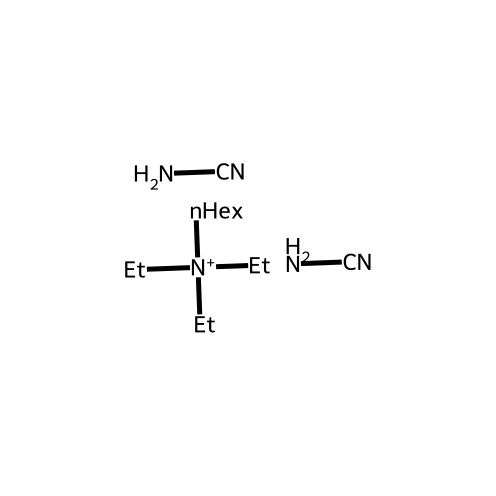 CCCCCC[N+](CC)(CC)CC.N#CN.N#CN